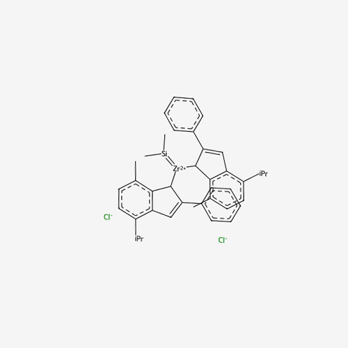 Cc1ccc(C(C)C)c2c1[CH]([Zr+2]([CH]1C(c3ccccc3)=Cc3c(C(C)C)ccc(C)c31)=[Si](C)C)C(c1ccccc1)=C2.[Cl-].[Cl-]